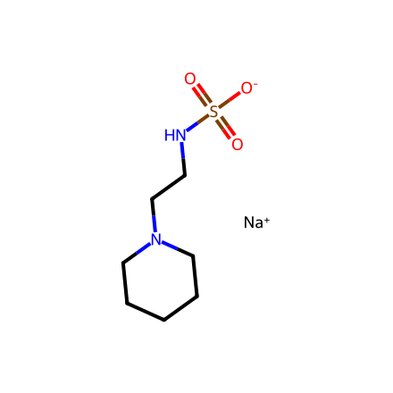 O=S(=O)([O-])NCCN1CCCCC1.[Na+]